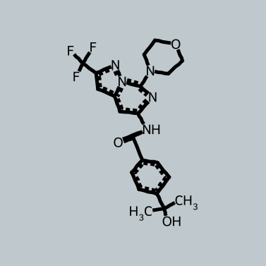 CC(C)(O)c1ccc(C(=O)Nc2cc3cc(C(F)(F)F)nn3c(N3CCOCC3)n2)cc1